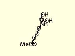 COC(=O)CCOCCOCCOCCNc1ccc(CO)cc1CO